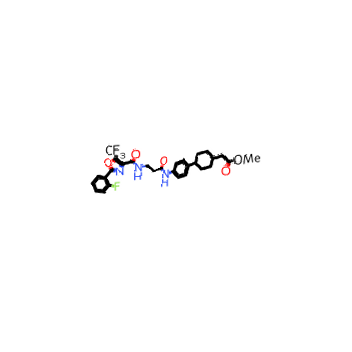 COC(=O)CC1CCC(c2ccc(NC(=O)CCNC(=O)c3nc(-c4ccccc4F)oc3C(F)(F)F)cc2)CC1